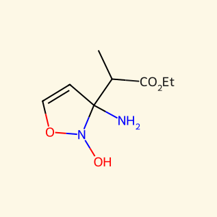 CCOC(=O)C(C)C1(N)C=CON1O